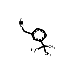 [C-]#[N+]Cc1cccc(C(C)(C)C)c1